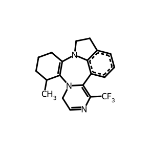 CC1CCCC2=C1N1CC=NC(C(F)(F)F)=C1c1cccc3c1N2CC3